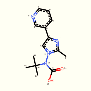 Cc1nc(-c2cccnc2)cn1N(C(=O)O)C(C)(C)C